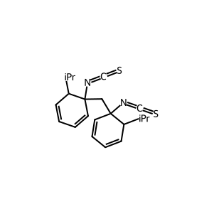 CC(C)C1C=CC=CC1(CC1(N=C=S)C=CC=CC1C(C)C)N=C=S